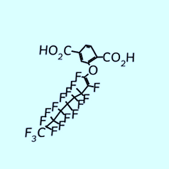 O=C(O)c1ccc(C(=O)O)c(OC(F)=C(F)C(F)(F)C(F)(F)C(F)(F)C(F)(F)C(F)(F)C(F)(F)C(F)(F)F)c1